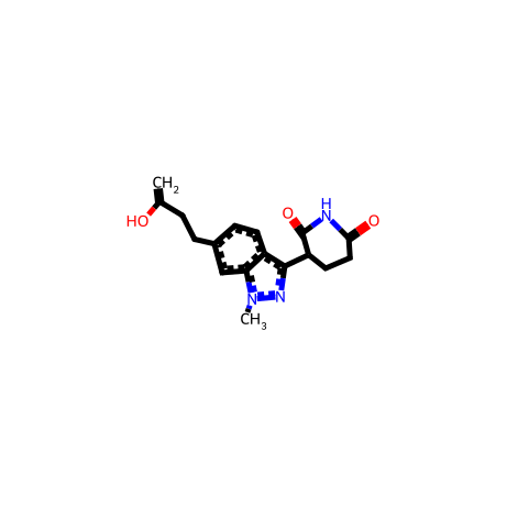 C=C(O)CCc1ccc2c(C3CCC(=O)NC3=O)nn(C)c2c1